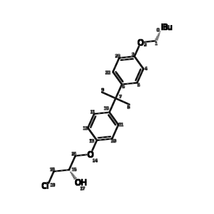 CC[C@@H](C)COc1ccc(C(C)(C)c2ccc(OC[C@H](O)CCl)cc2)cc1